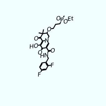 CCOP(C)(=O)CCCOC1Cn2cc(C(=O)NCc3ccc(F)cc3F)c(=O)c(O)c2C(=O)C1(C)C